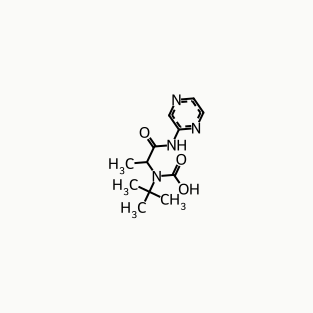 CC(C(=O)Nc1cnccn1)N(C(=O)O)C(C)(C)C